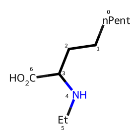 CCCCCCCC(NCC)C(=O)O